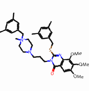 COc1cc2c(=O)n(CCCN3CC[N+](C)(Cc4cc(C)cc(C)c4)CC3)c(SCc3cc(C)cc(C)c3)nc2c(OC)c1OC